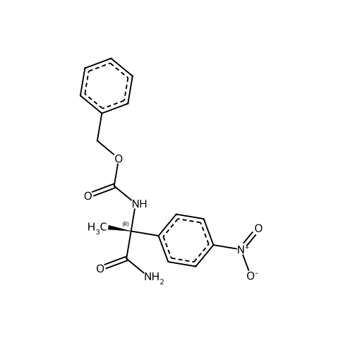 C[C@](NC(=O)OCc1ccccc1)(C(N)=O)c1ccc([N+](=O)[O-])cc1